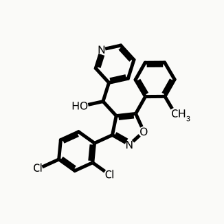 Cc1ccccc1-c1onc(-c2ccc(Cl)cc2Cl)c1C(O)c1cccnc1